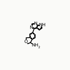 NC1COCc2cc(-c3ncnc4[nH]ccc34)ccc21